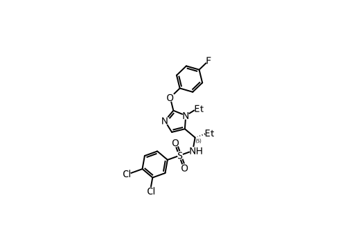 CC[C@H](NS(=O)(=O)c1ccc(Cl)c(Cl)c1)c1cnc(Oc2ccc(F)cc2)n1CC